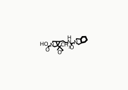 CC1(C23CN(C(=O)O)CC2C3CCNC(=O)N2Cc3ccccc3C2)COC1